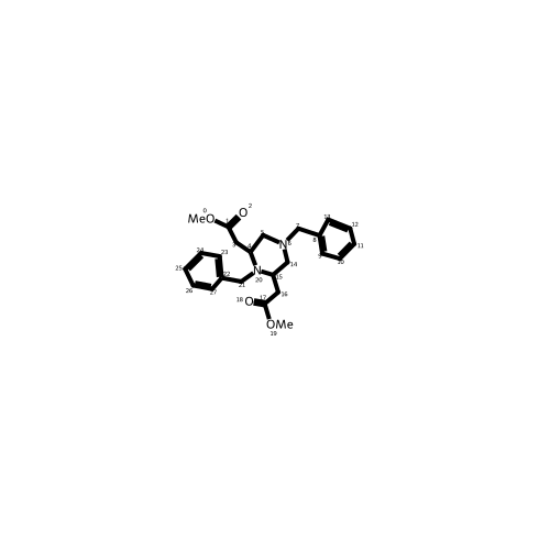 COC(=O)CC1CN(Cc2ccccc2)CC(CC(=O)OC)N1Cc1ccccc1